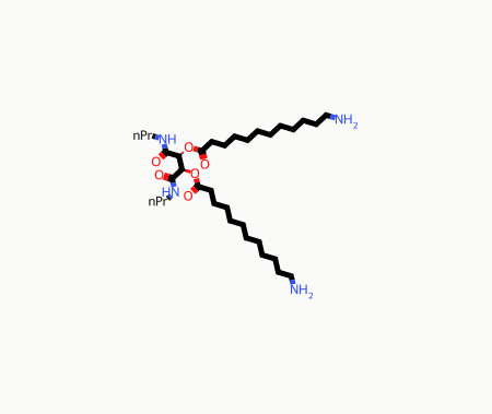 CCCNC(=O)[C@H](OC(=O)CCCCCCCCCCCN)[C@@H](OC(=O)CCCCCCCCCCCN)C(=O)NCCC